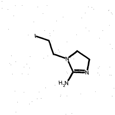 NC1=NCCN1CCI